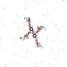 C=CC(=O)OCCOc1ccc(/C=C/c2ccc(OCCOC(=O)C=C)cc2OCCOC(=O)C=C)c(OCCOC(=O)C=C)c1